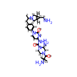 CC(Cc1ccc(-n2ccc(NC(=O)N3CCN(C(=O)C(C)(C)N)C[C@H]3N)nc2=O)cc1)N1C[C@@H]2C(CN)[C@@H]2C1